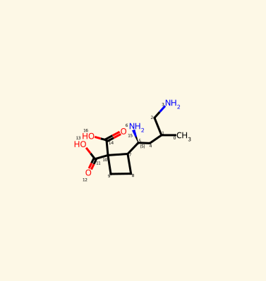 CC(CN)C[C@H](N)C1CCC1(C(=O)O)C(=O)O